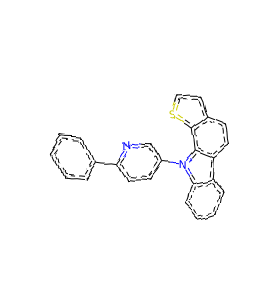 c1ccc(-c2ccc(-n3c4ccccc4c4ccc5ccsc5c43)cn2)cc1